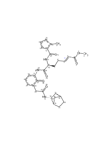 COC(=O)/C=C/CC[C@H](NC(=O)c1ccnn1C)C(=O)Nc1cccn(CC(=O)N[C@@H]2CC3CCC2C3)c1=O